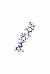 Cc1cc(S(C)(=O)=O)ccc1C(=O)Nc1ccc(-c2cn3cccc(C)c3n2)cc1